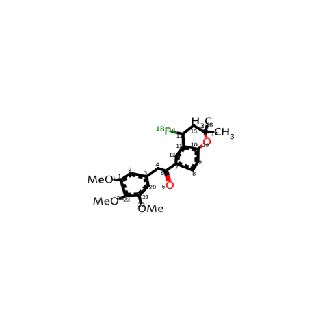 COc1cc(CC(=O)c2ccc3c(c2)C([18F])CC(C)(C)O3)cc(OC)c1OC